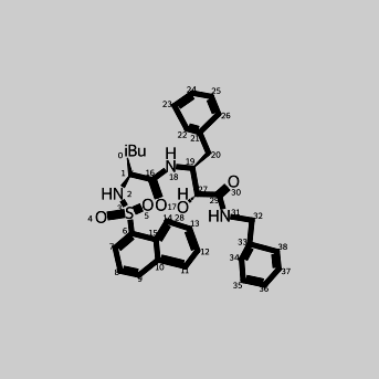 CC[C@H](C)[C@H](NS(=O)(=O)c1cccc2ccccc12)C(=O)N[C@@H](Cc1ccccc1)[C@@H](O)C(=O)NCc1ccccc1